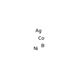 [Ag].[B].[Co].[Ni]